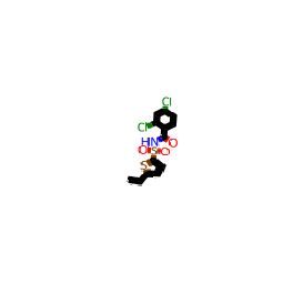 C=Cc1ccc(S(=O)(=O)NC(=O)c2ccc(Cl)cc2Cl)s1